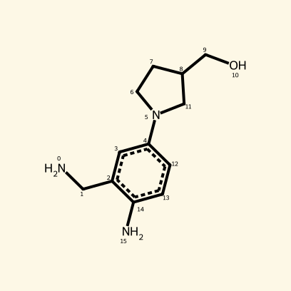 NCc1cc(N2CCC(CO)C2)ccc1N